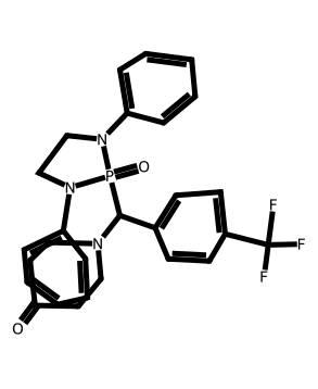 O=C1CCN(C(c2ccc(C(F)(F)F)cc2)P2(=O)N(c3ccccc3)CCN2c2ccccc2)CC1